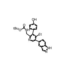 CCc1c(-c2ccc3[nH]ncc3c2)cnc(CNC(=O)OC(C)(C)C)c1-c1ccc(O)cc1